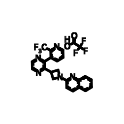 FC(F)(F)c1ncccc1-c1nccnc1C1CN(c2ccc3ccccc3n2)C1.O=C(O)C(F)(F)F